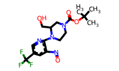 CC(C)(C)OC(=O)N1CCN(c2ncc(C(F)(F)F)cc2N=O)C(CO)C1